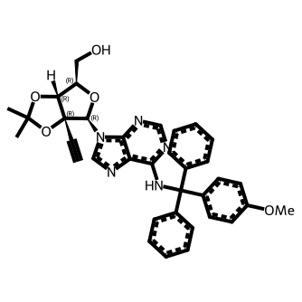 C#C[C@@]12OC(C)(C)O[C@@H]1[C@@H](CO)O[C@H]2n1cnc2c(NC(c3ccccc3)(c3ccccc3)c3ccc(OC)cc3)ncnc21